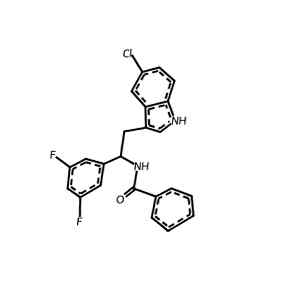 O=C(NC(Cc1c[nH]c2ccc(Cl)cc12)c1cc(F)cc(F)c1)c1ccccc1